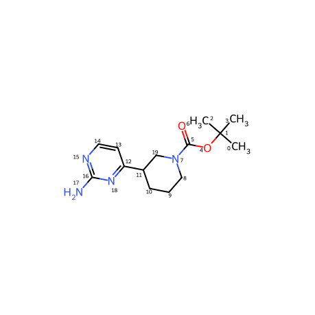 CC(C)(C)OC(=O)N1CCCC(c2ccnc(N)n2)C1